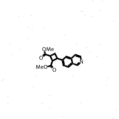 COC(=O)C1CC(c2ccc3cnccc3c2)C1C(=O)OC